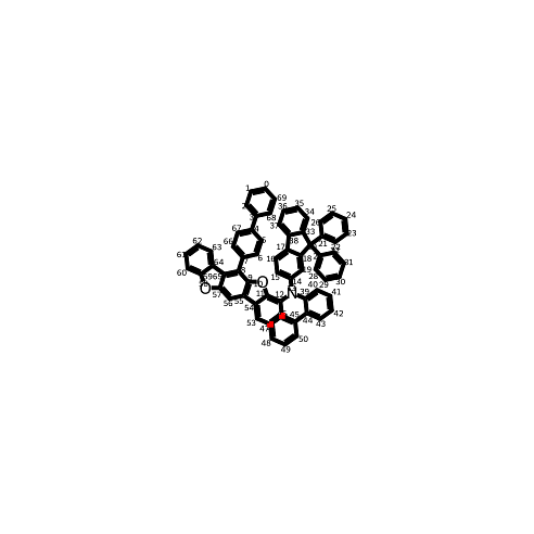 c1ccc(-c2ccc(-c3c4oc5c(N(c6ccc7c(c6)C(c6ccccc6)(c6ccccc6)c6ccccc6-7)c6ccccc6-c6ccccc6)cccc5c4cc4oc5ccccc5c34)cc2)cc1